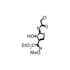 CCOC(=O)C(=NOC)c1csc(=NC(=O)CCl)n1O